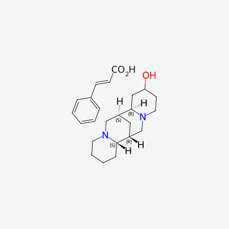 O=C(O)C=Cc1ccccc1.OC1CCN2C[C@H]3C[C@@H](CN4CCCC[C@@H]34)[C@H]2C1